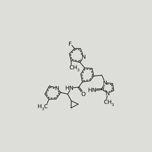 Cc1ccnc(C(NC(=O)c2cc(Cn3ccn(C)c3=N)cc(-c3ncc(F)cc3C)c2)C2CC2)c1